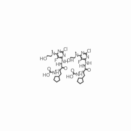 CN(CCO)c1nc(Cl)nc(NNC(=O)[C@@H](CNC(=O)O)CC2CCCC2)c1F.CN(CCO)c1nc(Cl)nc(NNC(=O)[C@@H](CNC(=O)O)CC2CCCC2)c1F